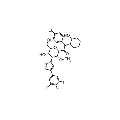 CO[C@@H]1[C@@H](n2cc(-c3cc(F)c(F)c(F)c3)nn2)[C@@H](O)[C@@H](CO)O[C@H]1C(=O)N(c1ccc(Cl)cc1)[C@H]1CCCC[C@@H]1O